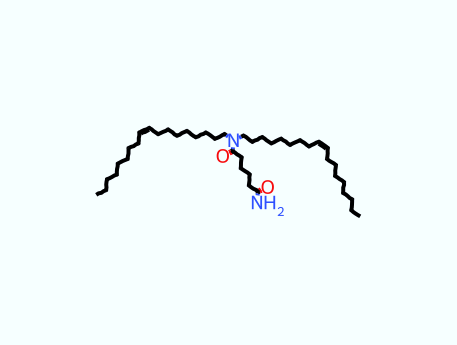 CCCCCCCC/C=C\CCCCCCCCN(CCCCCCCC/C=C\CCCCCCCC)C(=O)CCCCC(N)=O